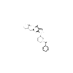 CCC(Cc1nc2c(cnn2C2CCCN(C(=O)c3ccccc3)C2)c(=O)[nH]1)C(F)(F)F